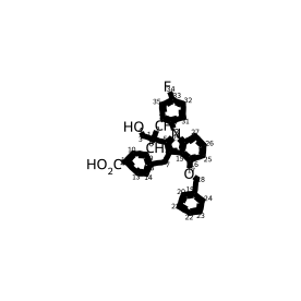 CC(C)(CO)c1c(Cc2ccc(C(=O)O)cc2)c2c(OCc3ccccc3)cccc2n1-c1ccc(F)cc1